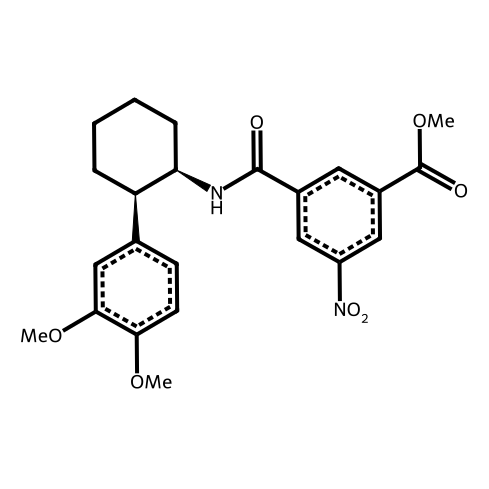 COC(=O)c1cc(C(=O)N[C@@H]2CCCC[C@@H]2c2ccc(OC)c(OC)c2)cc([N+](=O)[O-])c1